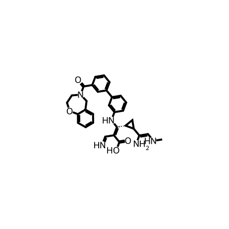 CN/C=C(\N)C1C[C@H]1/C(Nc1cccc(-c2cccc(C(=O)N3CCOc4ccccc4C3)c2)c1)=C(/C=N)C(=O)O